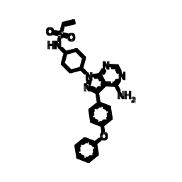 C=CS(=O)(=O)NC1CCC(n2nc(-c3ccc(Oc4ccccc4)cc3)c3c(N)ncnc32)CC1